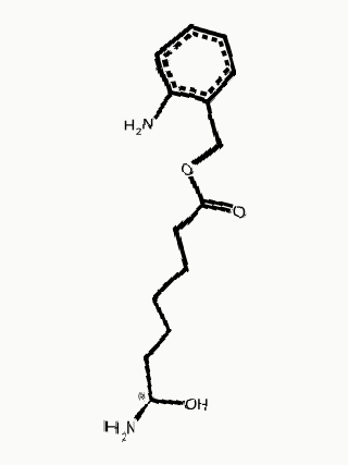 Nc1ccccc1COC(=O)CCCCC[C@H](N)O